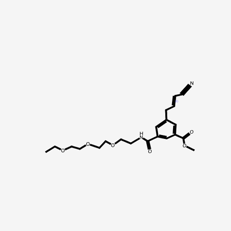 CCOCCOCCOCCNC(=O)c1cc(C/C=C/C#N)cc(C(=O)OC)c1